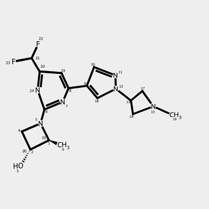 C[C@H]1[C@H](O)CN1c1nc(-c2cnn(C3CN(C)C3)c2)cc(C(F)F)n1